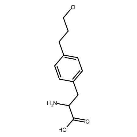 NC(Cc1ccc(CCCCl)cc1)C(=O)O